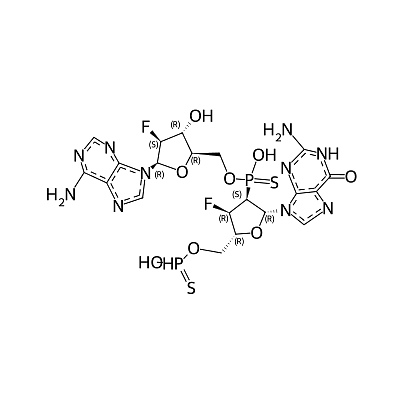 Nc1nc2c(ncn2[C@@H]2O[C@H](CO[PH](O)=S)[C@@H](F)[C@H]2P(O)(=S)OC[C@H]2O[C@@H](n3cnc4c(N)ncnc43)[C@@H](F)[C@@H]2O)c(=O)[nH]1